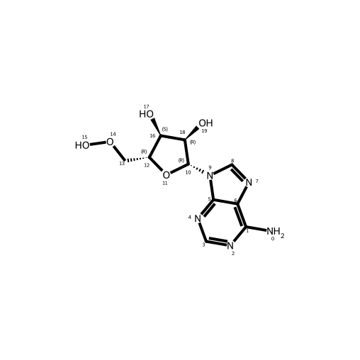 Nc1ncnc2c1ncn2[C@@H]1O[C@H](COO)[C@@H](O)[C@H]1O